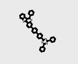 c1ccc(-c2nc(-c3ccccc3)nc(-c3ccc(-c4ccc(-c5ccc6c(c5)nc(-c5ccccc5)c5c7ccccc7sc65)cc4)cc3)n2)cc1